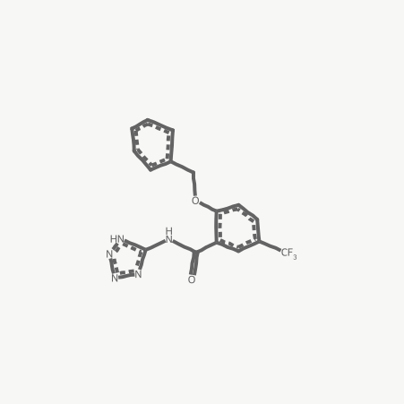 O=C(Nc1nnn[nH]1)c1cc(C(F)(F)F)ccc1OCc1ccccc1